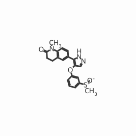 CN1C(=O)CCc2cc(-c3[nH]ncc3Oc3cccc([S+](C)[O-])c3)ccc21